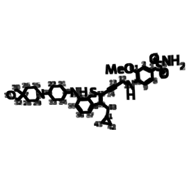 COc1cc(S(N)(=O)=O)ccc1NCC#Cc1sc2c(NC3CCC(N4CCC5(CC4)COC5)CC3)cccc2c1CC1CC1